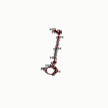 CO[C@H]1C[C@@H]2CC[C@@H](C)[C@@](O)(O2)C(=O)C(=O)N2CCCC[C@H]2C(=O)O[C@H]([C@H](N)C[C@@H]2CC[C@H](n3cc(CCCC(=O)NCCOCCOCCOCCC(=O)NCCOCCOCCOCCOCCC(=O)NCCCCn4nc(-c5cc6cc(O)ccc6[nH]5)c5c(N)ncnc54)nn3)[C@H](OC)C2)CC(=O)[C@H](C)/C=C(\C)[C@@H](O)[C@@H](O)C(=O)[C@H](C)C[C@H](C)/C=C/C=C/C=C/1C